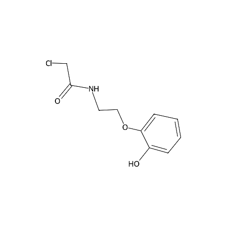 O=C(CCl)NCCOc1ccccc1O